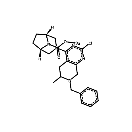 CC1Cc2c(nc(Cl)nc2N2C[C@H]3CC[C@@H](C2)N3C(=O)OC(C)(C)C)CN1Cc1ccccc1